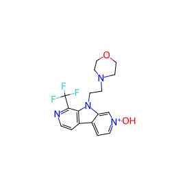 O[n+]1ccc2c3ccnc(C(F)(F)F)c3n(CCN3CCOCC3)c2c1